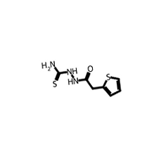 NC(=S)NNC(=O)Cc1cccs1